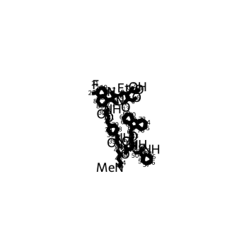 CC[C@@]1(O)C(=O)OCc2c1cc1n(c2=O)Cc2c-1nc1cc(F)c(C)c3c1c2[C@@H](NC(=O)OCc1ccc(NC(=O)[C@H](CCCCNC)NC(=O)[C@H](Cc2c[nH]c4ccccc24)NC(=O)OCC2c4ccccc4-c4ccccc42)cc1)CC3